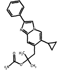 CC(C)(Cc1cc2nc(-c3ccccc3)cn2cc1C1CC1)OC(N)=O